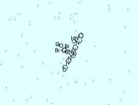 O=COc1c(Br)cc(C[C@@H](NC(=O)N2CCC(N3CCc4ccccc4NC3=O)CC2)C(=O)N2CCN(C3CCOCC3)CC2)cc1Br